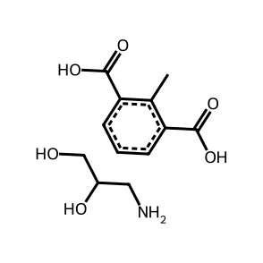 Cc1c(C(=O)O)cccc1C(=O)O.NCC(O)CO